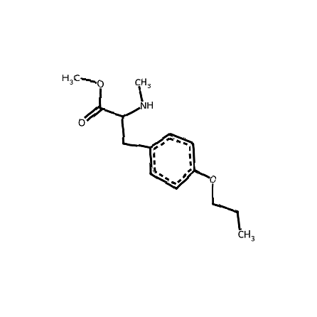 CCCOc1ccc(CC(NC)C(=O)OC)cc1